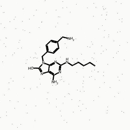 CCCCCNc1nc(N)c2nc(O)n(Cc3ccc(CN)cc3)c2n1